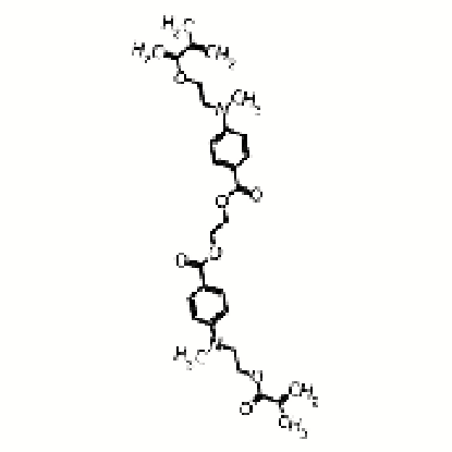 C=C(C)C(=C)OCCN(C)c1ccc(C(=O)OCCOC(=O)c2ccc(N(C)CCOC(=O)C(=C)C)cc2)cc1